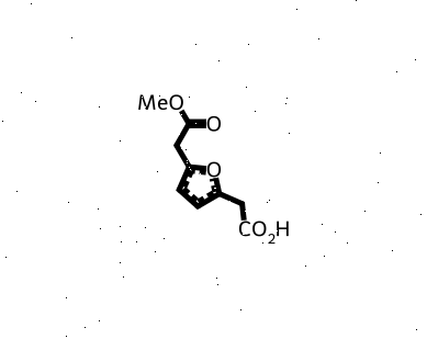 COC(=O)Cc1ccc(CC(=O)O)o1